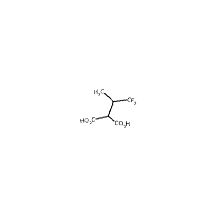 CC(C(C(=O)O)C(=O)O)C(F)(F)F